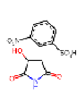 O=C1CC(O)C(=O)N1.O=[N+]([O-])c1cccc(S(=O)(=O)O)c1